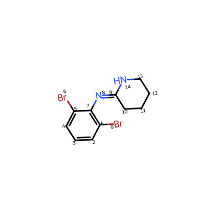 Brc1cccc(Br)c1N=C1CCCCN1